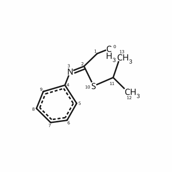 CCC(=Nc1ccccc1)SC(C)C